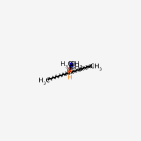 CCCCCCCCCCCCC[PH-](CCCCCCCCCCCCC)OCC[N+](C)(C)C